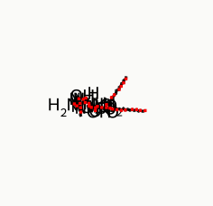 CCCCCCCCCCCCCCCC(=O)OCC(CSC[C@H](N)C(=O)N[C@@H](CO)C(=O)Nc1ccc(Cn2c(O)nc3c(N)nc(NCCCC)cc32)cc1)OC(=O)CCCCCCCCCCCCCCC